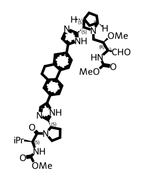 COC(=O)N[C@H](C(=O)N1CCC[C@H]1c1ncc(-c2ccc3c(c2)CCc2cc(-c4cnc([C@@H]5[C@H]6CC[C@H](C6)N5C[C@@H](OC)[C@@H](C=O)NC(=O)OC)[nH]4)ccc2-3)[nH]1)C(C)C